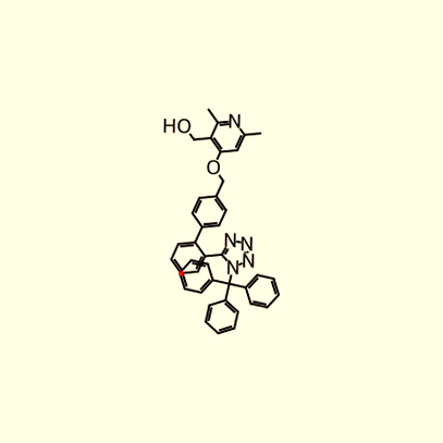 Cc1cc(OCc2ccc(-c3ccccc3-c3nnnn3C(c3ccccc3)(c3ccccc3)c3ccccc3)cc2)c(CO)c(C)n1